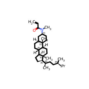 C=CC(=O)N(C)[C@H]1CC[C@@]2(C)[C@@H](CC[C@@H]3[C@@H]2CC[C@]2(C)[C@@H]([C@H](C)CC[C@@H](C)C(C)C)CC[C@@H]32)C1